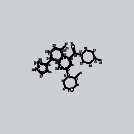 CC1COCCN1c1cc(C(=O)N2CCN(C)CC2)c2c(F)cnc(-c3ccn[nH]3)c2n1